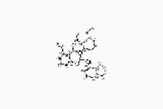 CCc1cccc(OC(Oc2cccc(CC)c2CC)Oc2cccc(CC)c2CC)c1CC